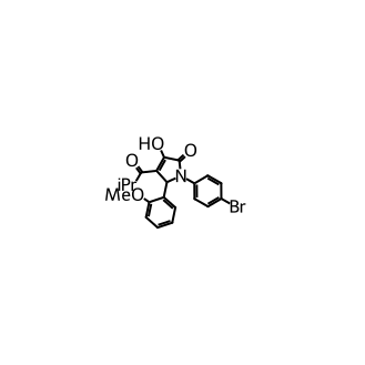 COc1ccccc1C1C(C(=O)C(C)C)=C(O)C(=O)N1c1ccc(Br)cc1